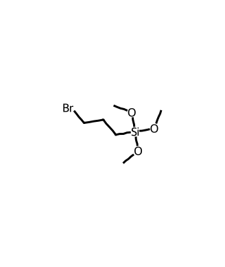 CO[Si](CCCBr)(OC)OC